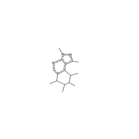 Cc1nn(C)c2ncc3c(c12)C(C)C(C)C(C)C3C